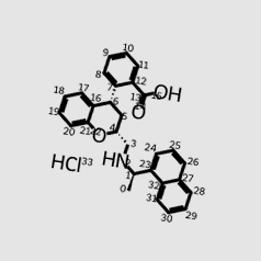 C[C@@H](NC[C@H]1C[C@@H](c2ccccc2C(=O)O)c2ccccc2O1)c1cccc2ccccc12.Cl